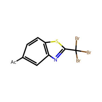 CC(=O)c1ccc2sc(C(Br)(Br)Br)nc2c1